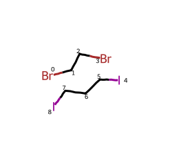 BrCCBr.ICCCI